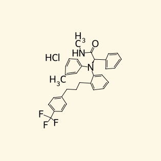 CNC(=O)[C@@H](c1ccccc1)N(c1cccc(C)c1)c1ccccc1CCCc1ccc(C(F)(F)F)cc1.Cl